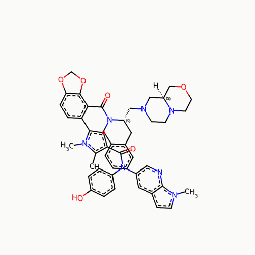 Cc1c(C(=O)N(c2ccc(O)cc2)c2cnc3c(ccn3C)c2)cc(-c2ccc3c(c2C(=O)N2Cc4ccccc4C[C@H]2CN2CCN4CCOC[C@@H]4C2)OCO3)n1C